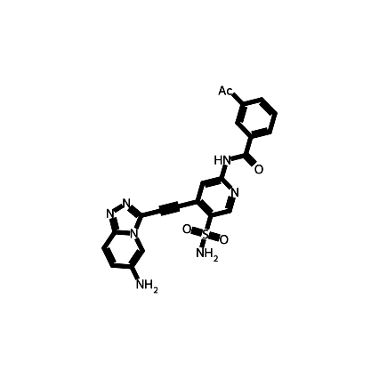 CC(=O)c1cccc(C(=O)Nc2cc(C#Cc3nnc4ccc(N)cn34)c(S(N)(=O)=O)cn2)c1